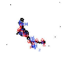 CC[C@H](C)[C@@H]([C@@H](CC(=O)N1CCC[C@H]1[C@H](OC)[C@@H](C)C(=O)N[C@H](Cc1ccccc1)c1ncccn1)OC)N(C)C(=O)[C@@H](NC(=O)[C@@H]1[C@H]2CC[C@H](C2)N1C(=O)OCc1ccc(NC(=O)[C@H](CCCNC(N)=O)NC(=O)CNC(=O)CCCCCN2C(=O)C=CC2=O)cc1)C(C)C